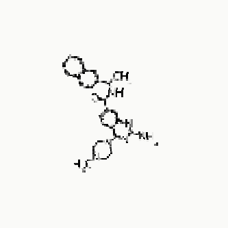 CC(NC(=O)c1ccc2c(N3CCN(C)CC3)nc(N)nc2c1)c1ccc2ccccc2c1